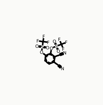 N#Cc1ccc(OS(=O)(=O)C(F)(F)F)c(OS(=O)(=O)C(F)(F)F)c1C#N